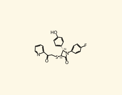 O=C(CS[C@@H]1C(=O)N(c2ccc(F)cc2)[C@H]1c1ccc(O)cc1)c1ccccn1